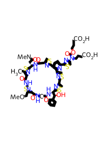 CNC(=O)C[C@@H]1NC(=O)c2csc(n2)-c2ccc(-c3nc(N(CCCC(=O)O)C(=O)OCCCC(=O)O)cs3)nc2-c2csc(n2)-c2csc(n2)[C@H]([C@@H](O)c2ccccc2)NC(=O)CNC(=O)c2nc(sc2COC)NC(=O)c2nc1sc2C